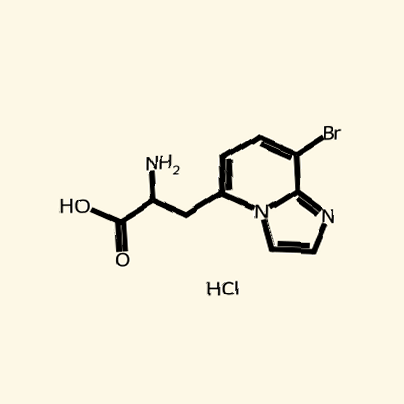 Cl.NC(Cc1ccc(Br)c2nccn12)C(=O)O